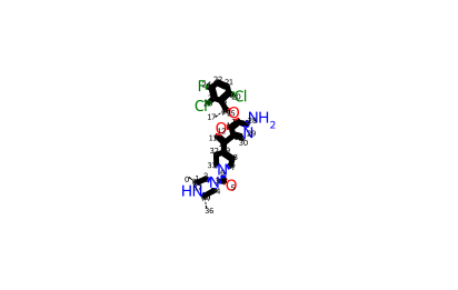 C[C@@H]1CN(C(=O)N2CC=C(c3coc4c(O[C@H](C)c5c(Cl)ccc(F)c5Cl)c(N)ncc34)CC2)C[C@H](C)N1